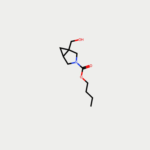 CCCCOC(=O)N1CC2CC2(CO)C1